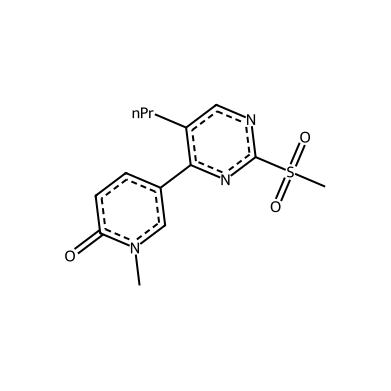 CCCc1cnc(S(C)(=O)=O)nc1-c1ccc(=O)n(C)c1